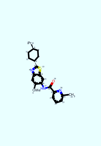 COc1cc2nc([C@H]3CC[C@H](C(C)C)CC3)sc2cc1NC(=O)c1cccc(C)n1